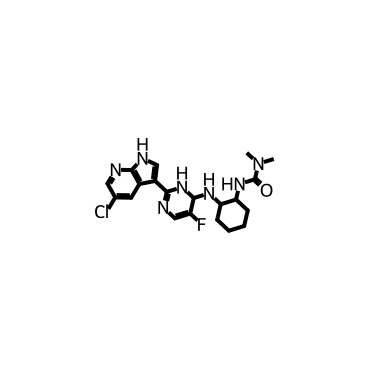 CN(C)C(=O)NC1CCCCC1NC1NC(c2c[nH]c3ncc(Cl)cc23)=NC=C1F